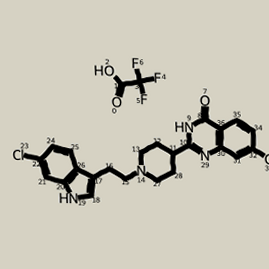 O=C(O)C(F)(F)F.O=c1[nH]c(C2CCN(CCc3c[nH]c4cc(Cl)ccc34)CC2)nc2cc(Cl)ccc12